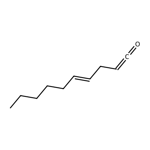 CCCCC/C=C/CC=C=O